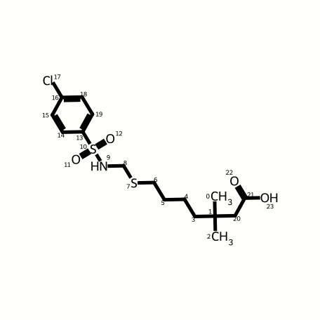 CC(C)(CCCCSCNS(=O)(=O)c1ccc(Cl)cc1)CC(=O)O